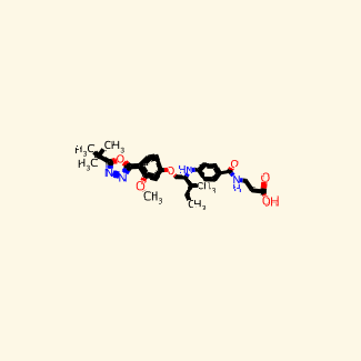 CCC(C)C(COc1ccc(-c2nnc(C(C)(C)C)o2)c(OC)c1)Nc1ccc(C(=O)NCCC(=O)O)cc1